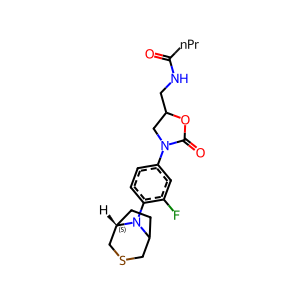 CCCC(=O)NCC1CN(c2ccc(N3C4CC[C@H]3CSC4)c(F)c2)C(=O)O1